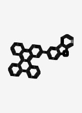 c1ccc2c(c1)oc1ccc(-c3ccc4c5ccccc5c5c6ccccc6c6ccccc6c5c4c3)cc12